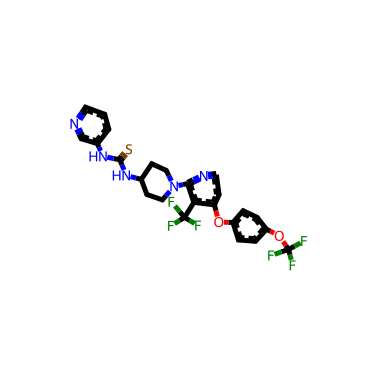 FC(F)(F)Oc1ccc(Oc2ccnc(N3CCC(NC(=S)Nc4cccnc4)CC3)c2C(F)(F)F)cc1